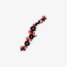 Cc1cc(OC(=O)c2ccc(OCC3(C)CO3)cc2)ccc1OC(=O)c1ccc(OCCCCOCC2(C)CO2)cc1